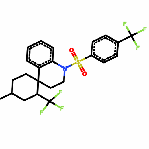 CC1CCC2(CCN(S(=O)(=O)c3ccc(C(F)(F)F)cc3)c3ccccc32)C(C(F)(F)F)C1